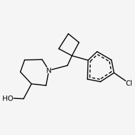 OCC1CCCN(CC2(c3ccc(Cl)cc3)CCC2)C1